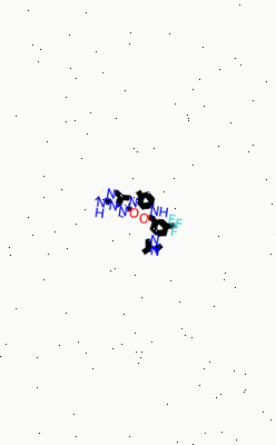 CNc1ncc2c(n1)N(C)C(=O)N(c1cc(NC(=O)c3cc(-n4cnc(C)c4)cc(C(F)(F)F)c3)ccc1C)C2